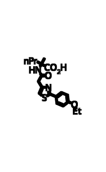 CCCC(C)(NC(=O)Cc1csc(-c2ccc(OCC)cc2)n1)C(=O)O